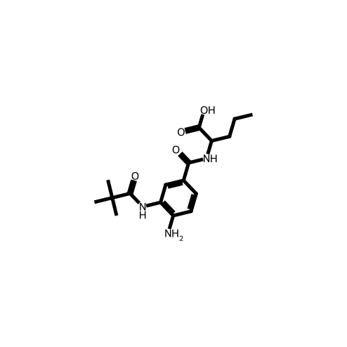 CCCC(NC(=O)c1ccc(N)c(NC(=O)C(C)(C)C)c1)C(=O)O